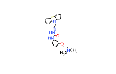 CN(C)CCOc1cccc(NC(=O)N/N=C/CN2c3ccccc3Sc3ccccc32)c1